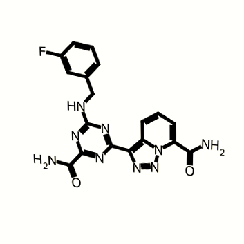 NC(=O)c1nc(NCc2cccc(F)c2)nc(-c2nnn3c(C(N)=O)cccc23)n1